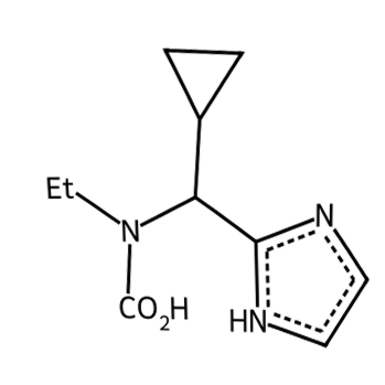 CCN(C(=O)O)C(c1ncc[nH]1)C1CC1